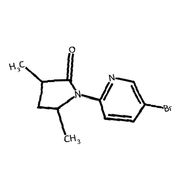 CC1CC(C)N(c2ccc(Br)cn2)C1=O